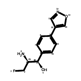 N[C@H](CF)[C@H](O)c1ccc(-c2cnoc2)cc1